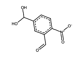 O=Cc1cc(C(O)O)ccc1[N+](=O)[O-]